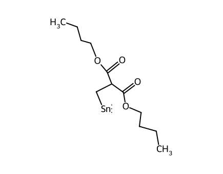 CCCCOC(=O)C([CH2][Sn])C(=O)OCCCC